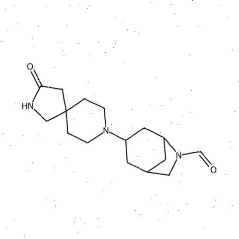 O=CN1CC2CC1CC(N1CCC3(CC1)CNC(=O)C3)C2